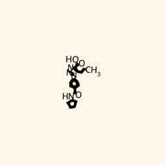 CCCc1c(C(=O)O)nnn1-c1ccc(C(=O)NC2CCCC2)cc1